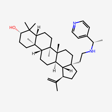 C=C(C)[C@@H]1CC[C@]2(CCN[C@@H](C)c3ccncc3)CC[C@]3(C)[C@H](CC[C@@H]4[C@@]5(C)CC[C@H](O)C(C)(C)[C@@H]5CC[C@]43C)[C@@H]12